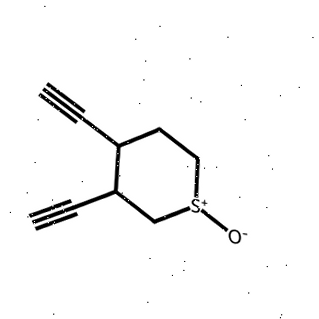 C#CC1CC[S+]([O-])CC1C#C